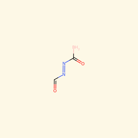 BC(=O)N=NC=O